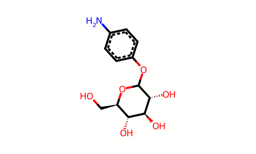 Nc1ccc(OC2O[C@H](CO)[C@@H](O)[C@H](O)[C@H]2O)cc1